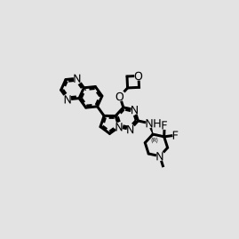 CN1CC[C@@H](Nc2nc(OC3COC3)c3c(-c4ccc5nccnc5c4)ccn3n2)C(F)(F)C1